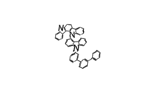 Cn1c2ccccc2c2c1ccc1c3ccccc3n(-c3cccc4c3c3ccccc3n4-c3cccc(-c4cccc(-c5ccccc5)c4)c3)c12